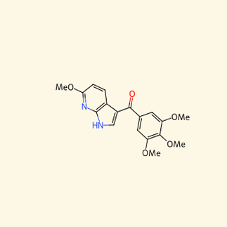 COc1ccc2c(C(=O)c3cc(OC)c(OC)c(OC)c3)c[nH]c2n1